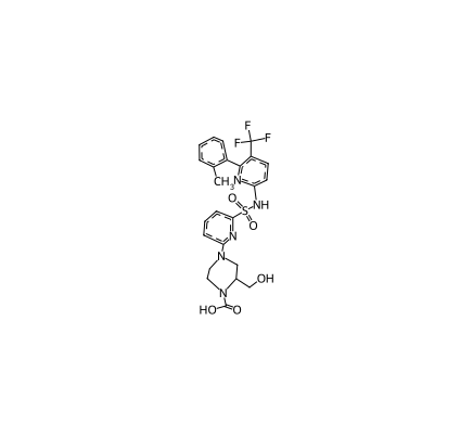 Cc1ccccc1-c1nc(NS(=O)(=O)c2cccc(N3CCN(C(=O)O)C(CO)C3)n2)ccc1C(F)(F)F